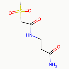 CS(=O)(=O)CC(=O)NCCC(N)=O